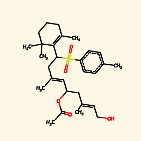 CC(=O)OC(C=C(C)CC(C1=C(C)CCCC1(C)C)S(=O)(=O)c1ccc(C)cc1)CC(C)=CCO